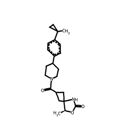 C[C@@H]1OC(=O)NC12CC(C(=O)N1CCC(c3ccc(C4(C)CC4)cc3)CC1)C2